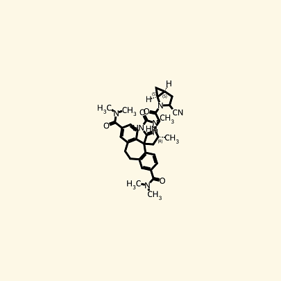 C[C@H](CC1(c2nn(C)c(=O)[nH]2)c2ccc(C(=O)N(C)C)cc2CCc2cc(C(=O)N(C)C)ccc21)NCC(=O)N1C(C#N)C[C@@H]2C[C@@H]21